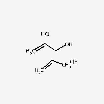 C=CC.C=CCO.Cl.Cl